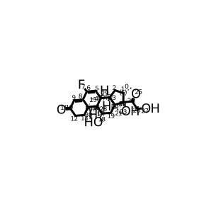 C[C@H]1C[C@H]2[C@@H]3C=C(F)C4=CC(=O)CC[C@]4(C)[C@H]3[C@@H](O)C[C@]2(C)[C@@]1(O)C(=O)CO